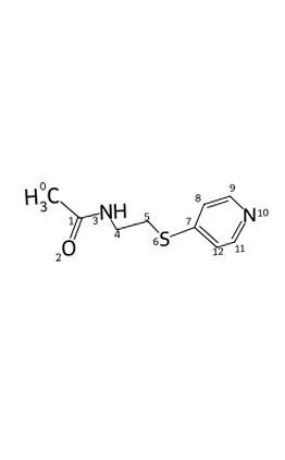 CC(=O)NCCSc1ccncc1